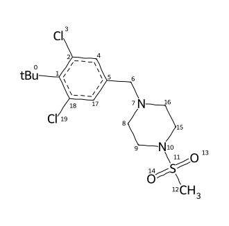 CC(C)(C)c1c(Cl)cc(CN2CCN(S(C)(=O)=O)CC2)cc1Cl